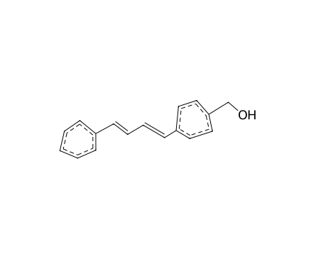 OCc1ccc(/C=C/C=C/c2ccccc2)cc1